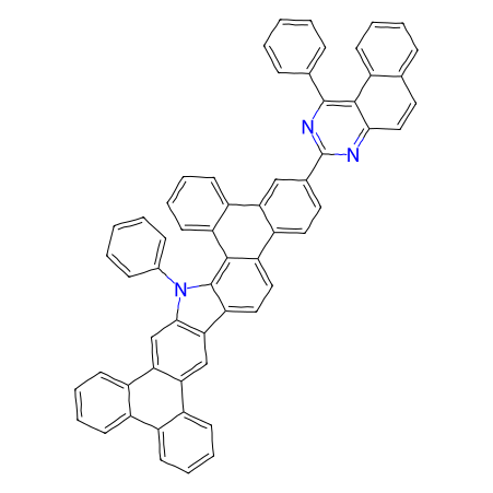 c1ccc(-c2nc(-c3ccc4c(c3)c3ccccc3c3c4ccc4c5cc6c7ccccc7c7ccccc7c6cc5n(-c5ccccc5)c43)nc3ccc4ccccc4c23)cc1